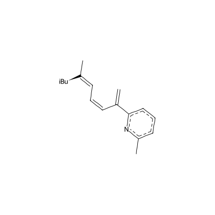 C=C(/C=C\C=C(\C)[C@H](C)CC)c1cccc(C)n1